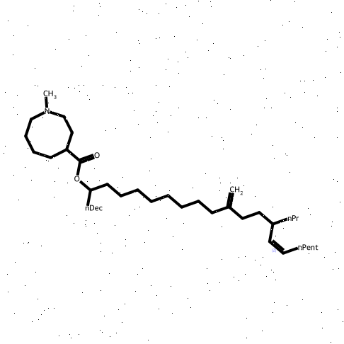 C=C(CCCCCCCCC(CCCCCCCCCC)OC(=O)C1CCCCN(C)CC1)CCC(/C=C\CCCCC)CCC